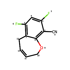 N#Cc1c(F)cc(F)c2c1OCC=CC2